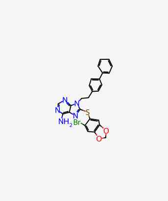 Nc1ncnc2c1nc(Sc1cc3c(cc1Br)OCO3)n2CCc1ccc(-c2ccccc2)cc1